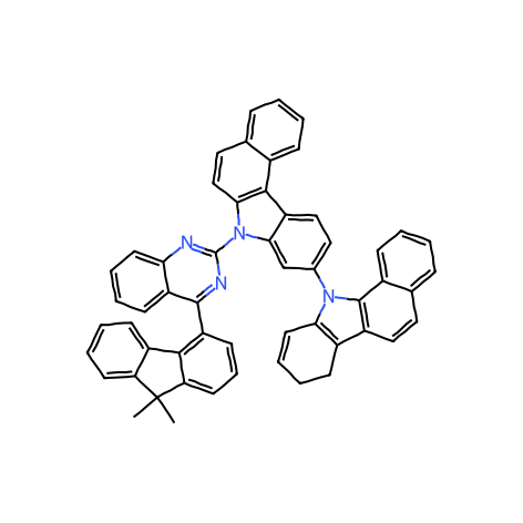 CC1(C)c2ccccc2-c2c(-c3nc(-n4c5cc(-n6c7c(c8ccc9ccccc9c86)CCC=C7)ccc5c5c6ccccc6ccc54)nc4ccccc34)cccc21